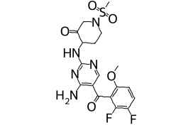 COc1ccc(F)c(F)c1C(=O)c1cnc(NC2CCN(S(C)(=O)=O)CC2=O)nc1N